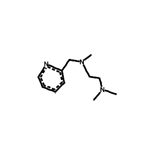 CN(C)CCN(C)Cc1c[c]ccn1